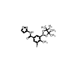 Cc1c(F)cc(C(=O)Nc2ccon2)cc1B1OC(C)(C)C(C)(C)O1